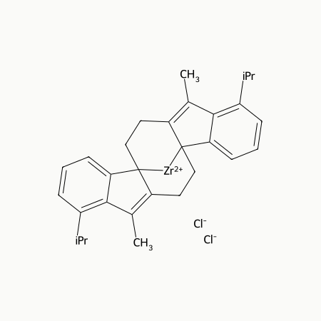 CC1=C2CC[C]34[Zr+2][C]2(CCC3=C(C)c2c(C(C)C)cccc24)c2cccc(C(C)C)c21.[Cl-].[Cl-]